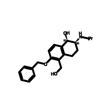 CC(C)N[C@@H]1CCc2c(ccc(OCc3ccccc3)c2CO)[C@@H]1O